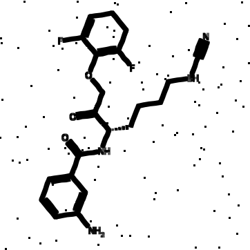 N#CBCCCC[C@H](NC(=O)c1cccc(N)c1)C(=O)COC1=C(F)CCC=C1F